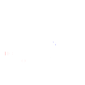 CC(C)N1CC(OO)C1